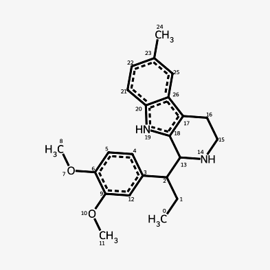 CCC(c1ccc(OC)c(OC)c1)C1NCCc2c1[nH]c1ccc(C)cc21